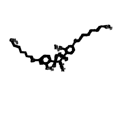 CCCCCCCOc1ccc(S(=O)(=O)C(=[N+]=[N-])S(=O)(=O)c2ccc(OCCCCCCC)cc2C)c(C)c1